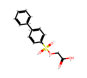 O=C(O)COS(=O)(=O)c1ccc(-c2ccccc2)cc1